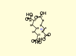 O=C(O)/C=C/CCC(=O)O.O=C(O)CCCCCC(=O)O